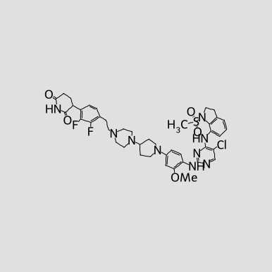 COc1cc(N2CCC(N3CCN(CCc4ccc(C5CCC(=O)NC5=O)c(F)c4F)CC3)CC2)ccc1Nc1ncc(Cl)c(Nc2cccc3c2N(S(C)(=O)=O)CC3)n1